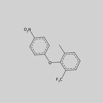 Cc1cccc(C(F)(F)F)c1Oc1ccc([N+](=O)[O-])cc1